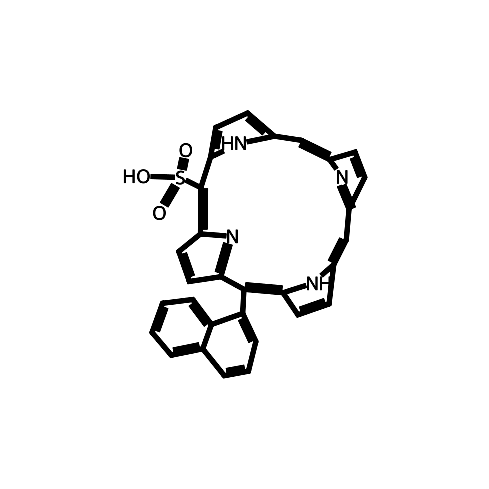 O=S(=O)(O)c1c2nc(c(-c3cccc4ccccc34)c3ccc(cc4nc(cc5ccc1[nH]5)C=C4)[nH]3)C=C2